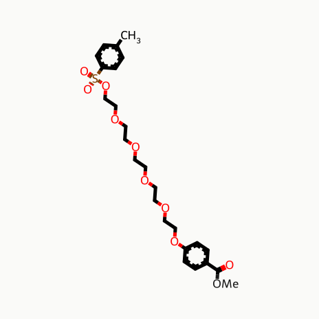 COC(=O)c1ccc(OCCOCCOCCOCCOCCOS(=O)(=O)c2ccc(C)cc2)cc1